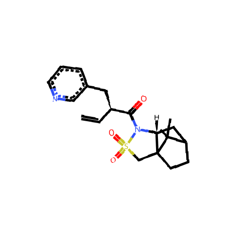 C=C[C@@H](Cc1cccnc1)C(=O)N1[C@@H]2CC3CCC2(CS1(=O)=O)C3(C)C